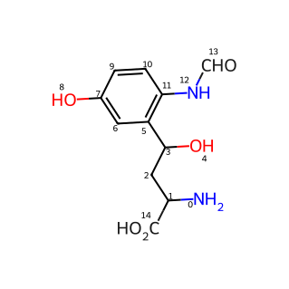 NC(CC(O)c1cc(O)ccc1NC=O)C(=O)O